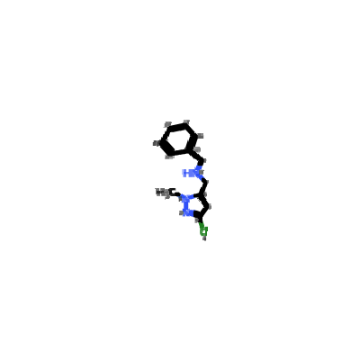 Cn1nc(Cl)cc1CNCc1ccccc1